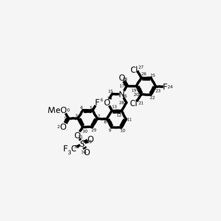 COC(=O)c1cc(F)c(-c2cccc3c2OCN(C(=O)c2c(Cl)cc(F)cc2Cl)C3)cc1OS(=O)(=O)C(F)(F)F